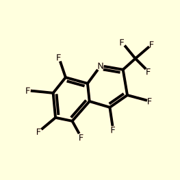 Fc1c(F)c(F)c2c(F)c(F)c(C(F)(F)F)nc2c1F